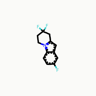 Fc1ccc2c(c1)cc1n2CCC(F)(F)C1